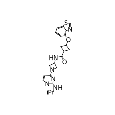 CC(C)Nc1nccc(N2CC(NC(=O)C3CC(Oc4cccc5scnc45)C3)C2)n1